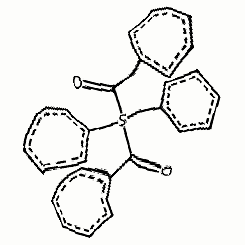 O=C(c1ccccc1)S(C(=O)c1ccccc1)(c1ccccc1)c1ccccc1